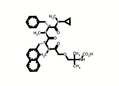 CN(C(=O)[C@@H](Cc1ccccc1)N(C)C(=O)[C@@H](Cc1ccc2ccccc2c1)N(C)C(=O)COCC(C)(C)NC(=O)O)C1CC1